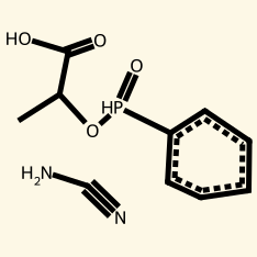 CC(O[PH](=O)c1ccccc1)C(=O)O.N#CN